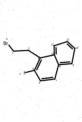 BrCCc1c(I)ccc2ccccc12